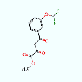 COC(=O)C(=O)CC(=O)c1cccc(OC(F)F)c1